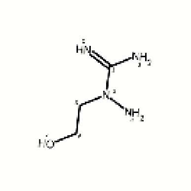 N=C(N)N(N)CCO